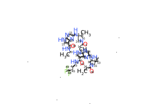 C=CC(=O)N1CC(C)C(Nc2cnc3[nH]cc(C(=O)NCC)c3n2)C1.C=CC(=O)N1CC(Nc2cnc3[nH]cc(C(=O)NCCCC(F)(F)F)c3n2)C2(CC2)C1